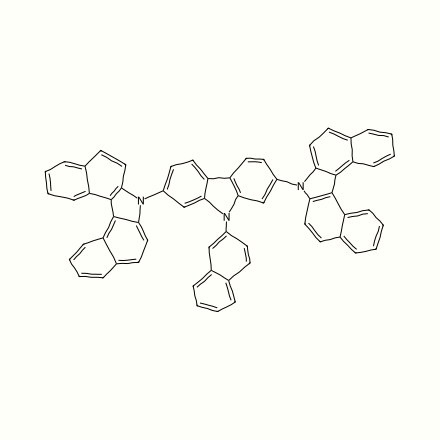 c1ccc2cc(-n3c4cc(-n5c6ccc7ccccc7c6c6c7ccccc7ccc65)ccc4c4ccc(-n5c6ccc7ccccc7c6c6c7ccccc7ccc65)cc43)ccc2c1